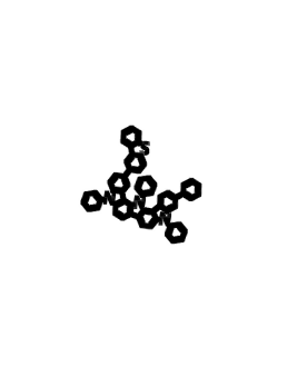 c1ccc(-c2ccc3c4c(ccc5c6ccc7c(c8cc(-c9ccc%10sc%11ccccc%11c%10c9)ccc8n7-c7ccccc7)c6n(-c6ccccc6)c54)n(-c4ccccc4)c3c2)cc1